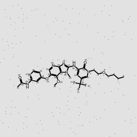 CCCCOCCn1cc(C(F)(F)F)cc(Nc2nc3ncc(Oc4ccnc(NC(C)=O)c4)c(OC)c3n2C)c1=O